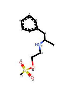 CC(Cc1ccccc1)NCCOS(C)(=O)=O